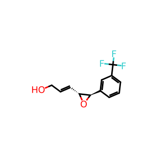 OC/C=C/[C@H]1O[C@@H]1c1cccc(C(F)(F)F)c1